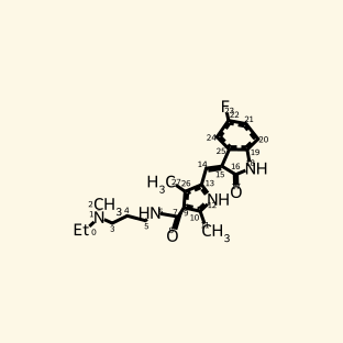 CCN(C)CCCNC(=O)c1c(C)[nH]c(/C=C2\C(=O)Nc3ccc(F)cc32)c1C